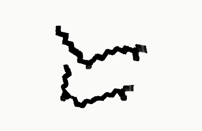 CCCCCC=CCC1OC1CCCCCCCC(=O)O.CCCCC[C@H]1O[C@H]1C/C=C\CCCCCCCC(=O)O